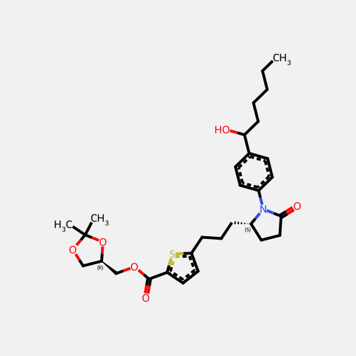 CCCCCC(O)c1ccc(N2C(=O)CC[C@@H]2CCCc2ccc(C(=O)OC[C@H]3COC(C)(C)O3)s2)cc1